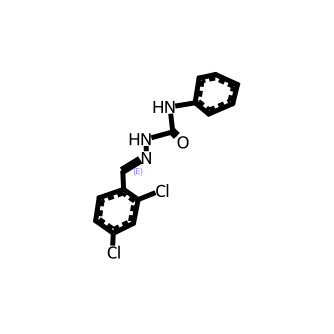 O=C(N/N=C/c1ccc(Cl)cc1Cl)Nc1ccccc1